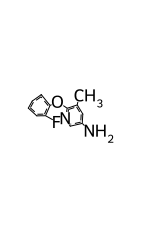 Cc1cc(N)cnc1Oc1ccccc1F